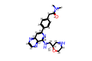 CN(C)C(=O)Cc1ccc(-c2cc3nccnc3c(NC[C@@]3(C)CNCCO3)n2)cc1